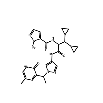 Cc1c[nH]c(=O)c(C(C)n2cc(NC(=O)C(NC(=O)c3ccnn3C(C)C)C(C3CC3)C3CC3)cn2)c1